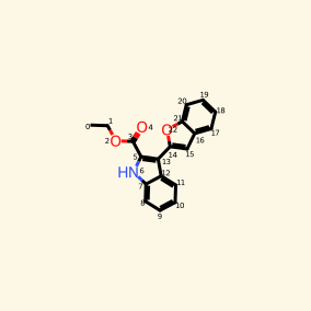 CCOC(=O)c1[nH]c2ccccc2c1-c1cc2ccccc2o1